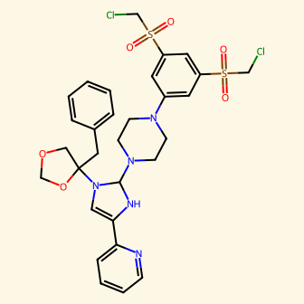 O=S(=O)(CCl)c1cc(N2CCN(C3NC(c4ccccn4)=CN3C3(Cc4ccccc4)COCO3)CC2)cc(S(=O)(=O)CCl)c1